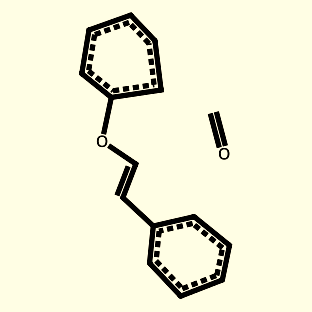 C(=Cc1ccccc1)Oc1ccccc1.C=O